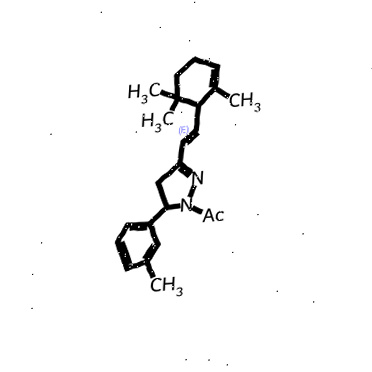 CC(=O)N1N=C(/C=C/C2C(C)=CCCC2(C)C)CC1c1cccc(C)c1